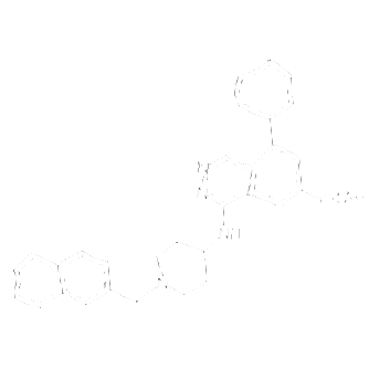 COc1cc(-c2ccccc2)c2cnnc(NC3CCN(Cc4ccc5ccccc5c4)CC3)c2c1